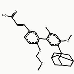 COCOc1ccc(/C=C/C(=O)O)cc1-c1cc(C23CC4CC(CC(C4)C2)C3)c(OC)cc1C